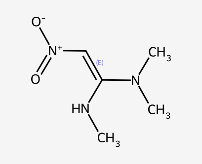 CN/C(=C\[N+](=O)[O-])N(C)C